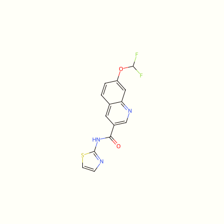 O=C(Nc1nccs1)c1cnc2cc(OC(F)F)ccc2c1